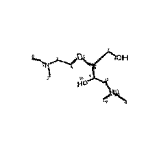 CN(C)CCOC(CO)C(O)CN(C)C